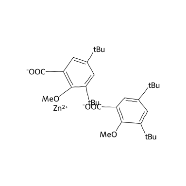 COc1c(C(=O)[O-])cc(C(C)(C)C)cc1C(C)(C)C.COc1c(C(=O)[O-])cc(C(C)(C)C)cc1C(C)(C)C.[Zn+2]